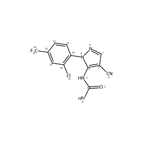 CCCC(=O)Nc1c(C#N)cnn1-c1ccc(C(F)(F)F)cc1Cl